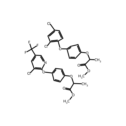 COC(=O)C(C)Oc1ccc(Oc2ccc(Cl)cc2Cl)cc1.COC(=O)C(C)Oc1ccc(Oc2ncc(C(F)(F)F)cc2Cl)cc1